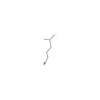 [CH2]C(C)CCCF